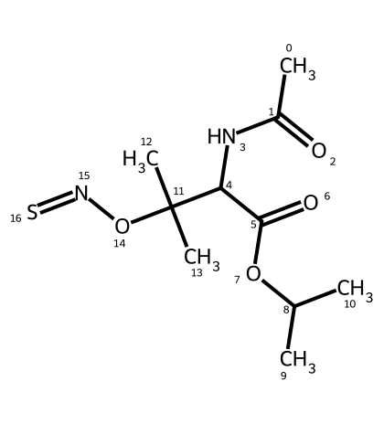 CC(=O)NC(C(=O)OC(C)C)C(C)(C)ON=S